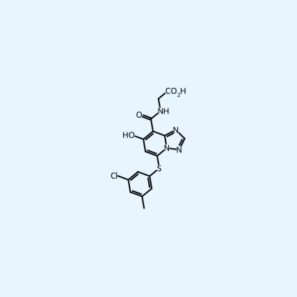 Cc1cc(Cl)cc(Sc2cc(O)c(C(=O)NCC(=O)O)c3ncnn23)c1